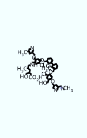 C/N=C/c1cncc(COc2cc(OCc3cccc(-c4cccc(COc5cc(OCc6cncc(C)c6)c(CNCC(C)CC(CO)CC(=O)O)cc5Cl)c4C)c3C)c(Cl)cc2CO)c1